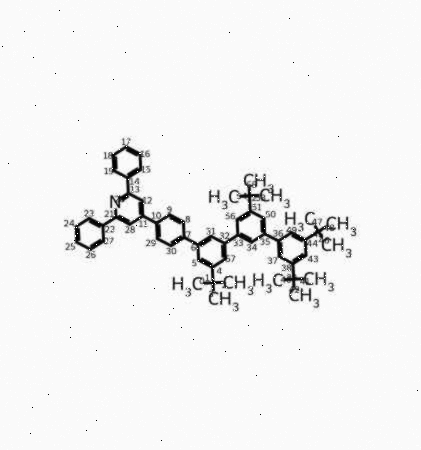 CC(C)(C)c1cc(-c2ccc(-c3cc(-c4ccccc4)nc(-c4ccccc4)c3)cc2)cc(-c2cc(-c3cc(C(C)(C)C)cc(C(C)(C)C)c3)cc(C(C)(C)C)c2)c1